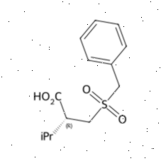 CC(C)[C@@H](CS(=O)(=O)Cc1ccccc1)C(=O)O